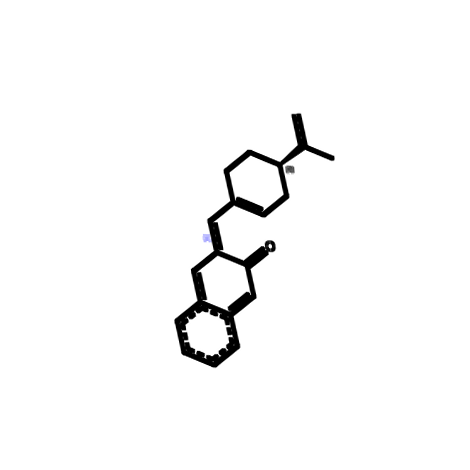 C=C(C)[C@H]1CC=C(/C=C2/C=c3ccccc3=CC2=O)CC1